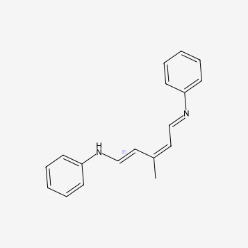 CC(=CC=Nc1ccccc1)/C=C/Nc1ccccc1